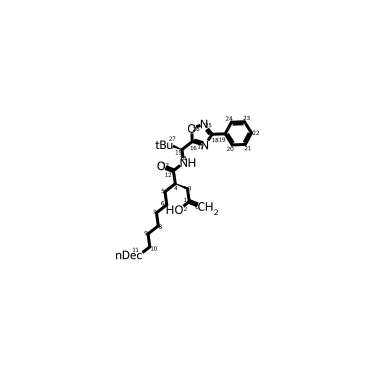 C=C(O)C[C@@H](CCCCCCCCCCCCCCCC)C(=O)N[C@H](c1nc(-c2ccccc2)no1)C(C)(C)C